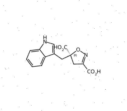 O=C(O)C1=NO[C@@](Cc2c[nH]c3ccccc23)(C(=O)O)C1